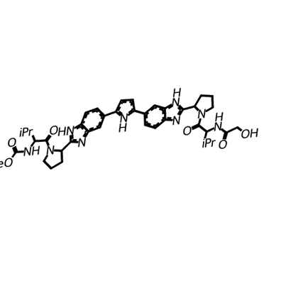 COC(=O)NC(C(=O)N1CCCC1c1nc2cc(-c3ccc(-c4ccc5nc(C6CCCN6C(=O)C(NC(=O)CO)C(C)C)[nH]c5c4)[nH]3)ccc2[nH]1)C(C)C